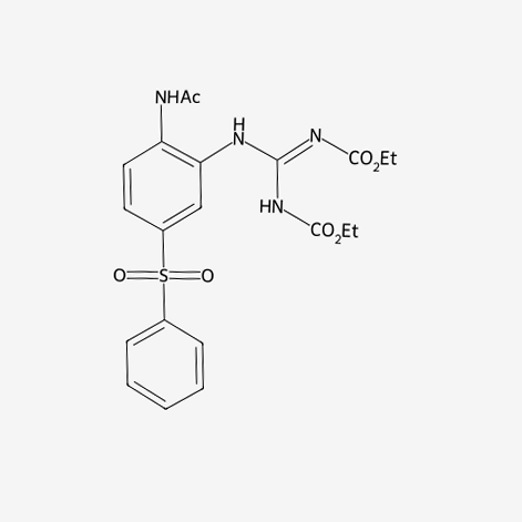 CCOC(=O)/N=C(\NC(=O)OCC)Nc1cc(S(=O)(=O)c2ccccc2)ccc1NC(C)=O